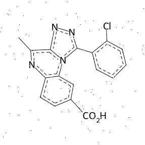 Cc1nc2ccc(C(=O)O)cc2n2c(-c3ccccc3Cl)nnc12